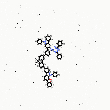 CC1(C)c2ccc(-c3ccc4c(c3)c3cc5c(cc3n4-c3nc(-c4ccccc4)nc(-c4ccccc4)n3)c3ccccc3n5-c3ccccc3)cc2-c2cc(-c3ccc4c(c3)c3ccc5c6ccccc6oc5c3n4-c3ccccc3)ccc21